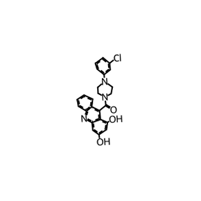 O=C(c1c2ccccc2nc2cc(O)cc(O)c12)N1CCN(c2cccc(Cl)c2)CC1